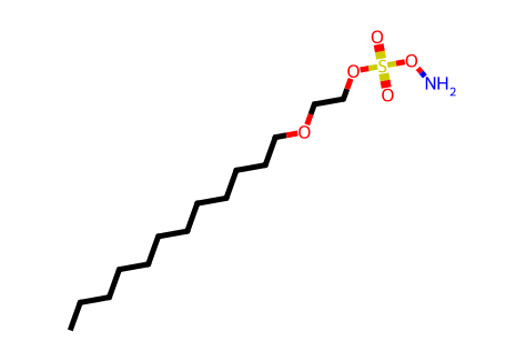 CCCCCCCCCCCCOCCOS(=O)(=O)ON